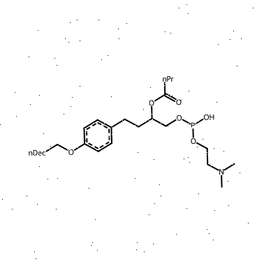 CCCCCCCCCCCOc1ccc(CCC(COP(O)OCCN(C)C)OC(=O)CCC)cc1